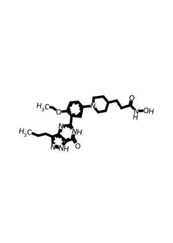 CCCc1n[nH]c2c(=O)[nH]c(-c3cc(N4CCC(CCC(=O)NO)CC4)ccc3OCC)nc12